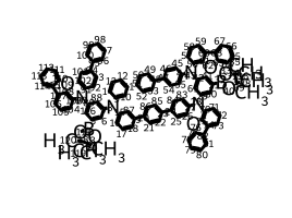 CC1(C)OB(c2cc(N(c3ccccc3)c3cccc(-c4ccc(-c5ccc(N(c6cc(B7OC(C)(C)C(C)(C)O7)cc(N(c7ccc(-c8ccccc8)cc7)c7cccc8c7oc7ccccc78)c6)c6cccc7c6oc6ccccc67)cc5)cc4)c3)cc(N(c3ccc(-c4ccccc4)cc3)c3cccc4c3oc3ccccc34)c2)OC1(C)C